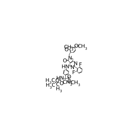 COC(=O)[C@](C)(NC(=O)OC(C)(C)C)c1ccc(Nc2nc(-c3c(F)cccc3F)nc3c2C(=O)N(Cc2ccc(OC)cc2OC)C3)cc1